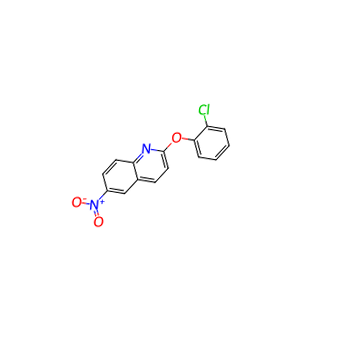 O=[N+]([O-])c1ccc2nc(Oc3ccccc3Cl)ccc2c1